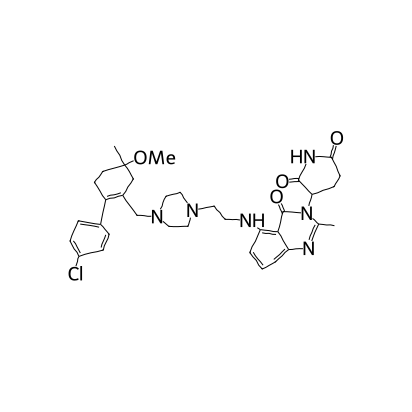 COC1(C)CCC(c2ccc(Cl)cc2)=C(CN2CCN(CCNc3cccc4nc(C)n(C5CCC(=O)NC5=O)c(=O)c34)CC2)C1